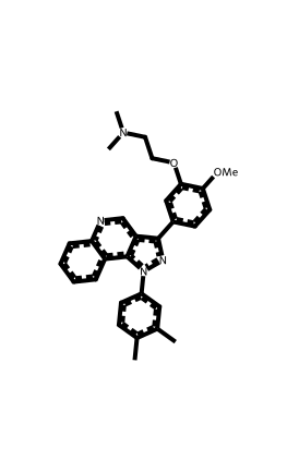 COc1ccc(-c2nn(-c3ccc(C)c(C)c3)c3c2cnc2ccccc23)cc1OCCN(C)C